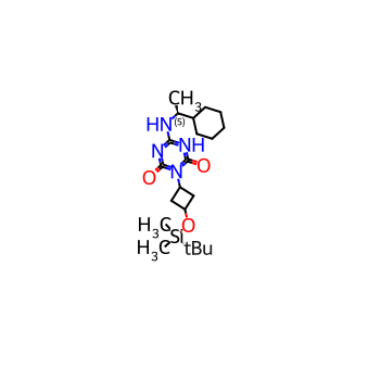 C[C@H](Nc1nc(=O)n(C2CC(O[Si](C)(C)C(C)(C)C)C2)c(=O)[nH]1)C1CCCCC1